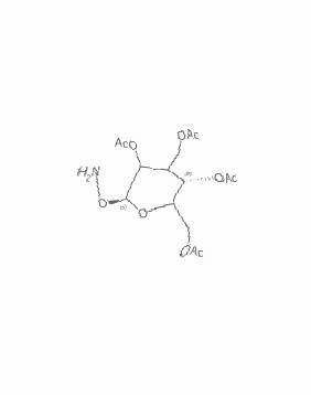 CC(=O)OCC1O[C@@H](ON)C(OC(C)=O)C(OC(C)=O)[C@@H]1OC(C)=O